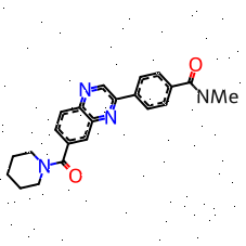 CNC(=O)c1ccc(-c2cnc3ccc(C(=O)N4CCCCC4)cc3n2)cc1